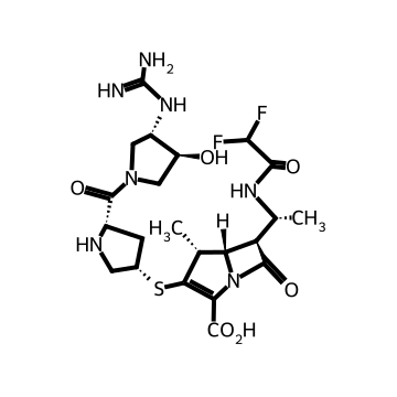 C[C@@H](NC(=O)C(F)F)[C@H]1C(=O)N2C(C(=O)O)=C(S[C@@H]3CN[C@H](C(=O)N4C[C@H](NC(=N)N)[C@@H](O)C4)C3)[C@H](C)[C@H]12